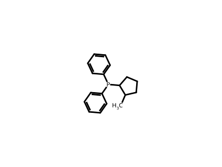 CC1CCCC1P(c1ccccc1)c1ccccc1